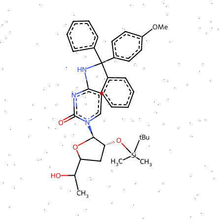 COc1ccc(C(Nc2ccn([C@@H]3OC(C(C)O)C[C@H]3O[Si](C)(C)C(C)(C)C)c(=O)n2)(c2ccccc2)c2ccccc2)cc1